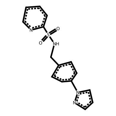 O=S(=O)(NCc1ccc(-n2cccn2)cc1)c1ccccn1